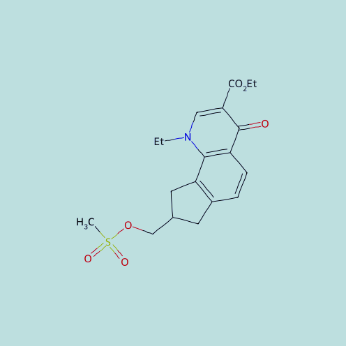 CCOC(=O)c1cn(CC)c2c3c(ccc2c1=O)CC(COS(C)(=O)=O)C3